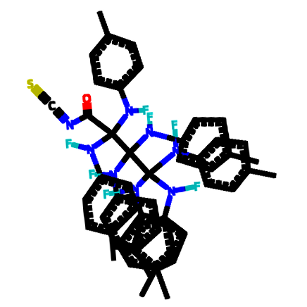 Cc1ccc(N(F)C(C(=O)N=C=S)(N(F)c2ccc(C)cc2)C(N(F)c2ccc(C)cc2)(N(F)c2ccc(C)cc2)C(N(F)c2ccc(C)cc2)(N(F)c2ccc(C)cc2)N(F)c2ccc(C)cc2)cc1